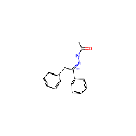 CC(=O)N/N=C(\Cc1ccccc1)c1ccccc1